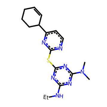 CCNc1nc(Sc2nccc(C3C=CCCC3)n2)nc(N(C)C)n1